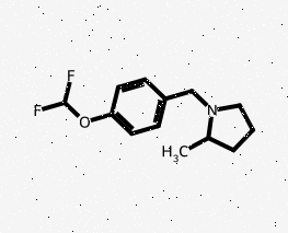 CC1CCCN1Cc1ccc(OC(F)F)cc1